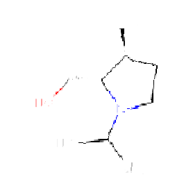 CC(C)N1CC[C@H](C)[C@H]1CO